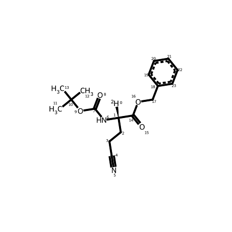 [2H][C@@](CCC#N)(NC(=O)OC(C)(C)C)C(=O)OCc1ccccc1